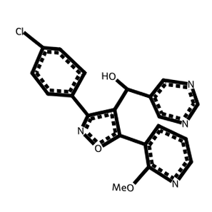 COc1ncccc1-c1onc(-c2ccc(Cl)cc2)c1C(O)c1cncnc1